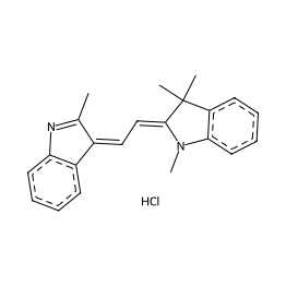 CC1=Nc2ccccc2/C1=C/C=C1\N(C)c2ccccc2C1(C)C.Cl